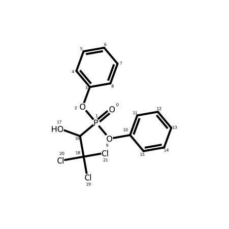 O=P(Oc1ccccc1)(Oc1ccccc1)C(O)C(Cl)(Cl)Cl